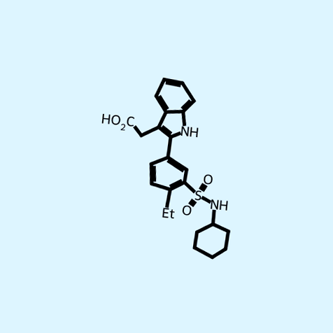 CCc1ccc(-c2[nH]c3ccccc3c2CC(=O)O)cc1S(=O)(=O)NC1CCCCC1